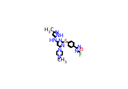 Cc1cc(Nc2cc(N3CCN(C)CC3)nc(Sc3ccc(-c4noc(F)n4)cc3)n2)[nH]n1